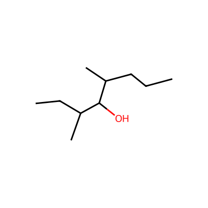 CCCC(C)C(O)C(C)CC